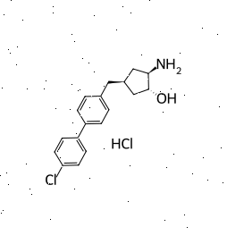 Cl.N[C@@H]1C[C@H](Cc2ccc(-c3ccc(Cl)cc3)cc2)C[C@H]1O